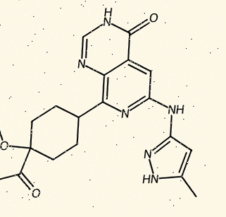 COC(=O)C1(OC)CCC(c2nc(Nc3cc(C)[nH]n3)cc3c(=O)[nH]cnc23)CC1